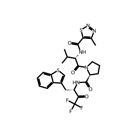 Cc1nnsc1C(=O)N[C@H](C(=O)N1CCC[C@H]1C(=O)N[C@@H](Cc1csc2ccccc12)C(=O)C(F)(F)F)C(C)C